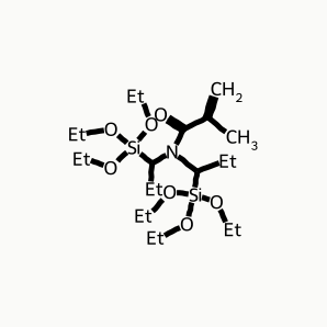 C=C(C)C(=O)N(C(CC)[Si](OCC)(OCC)OCC)C(CC)[Si](OCC)(OCC)OCC